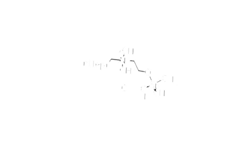 CCCCCCCC[N+](C)(C)CCO[Si](C)(C)C.[Cl-]